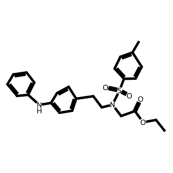 CCOC(=O)CN(CCc1ccc(Nc2ccccc2)cc1)S(=O)(=O)c1ccc(C)cc1